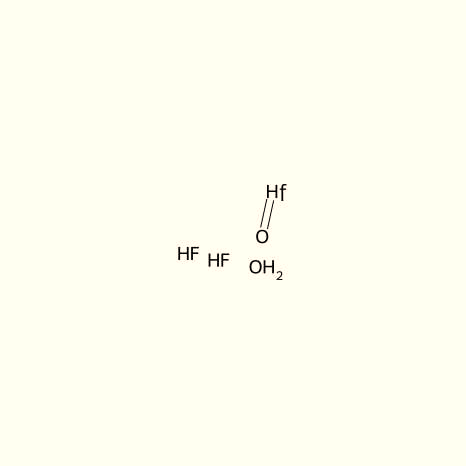 F.F.O.[O]=[Hf]